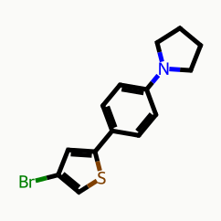 Brc1csc(-c2ccc(N3CCCC3)cc2)c1